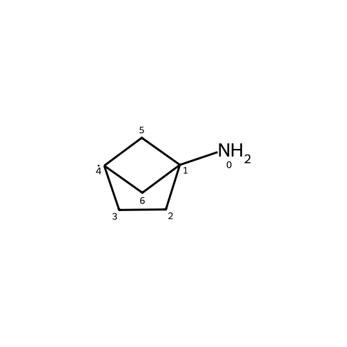 NC12CC[C](C1)C2